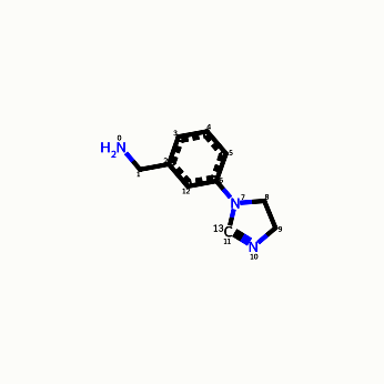 NCc1cccc(N2CCN=[13CH]2)c1